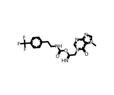 Cn1cnc2ncn(CC(=N)OC(=O)NCCc3ccc(C(F)(F)F)cc3)c(=O)c21